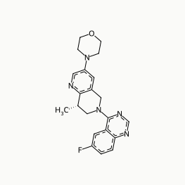 C[C@H]1CN(c2ncnc3ccc(F)cc23)Cc2cc(N3CCOCC3)cnc21